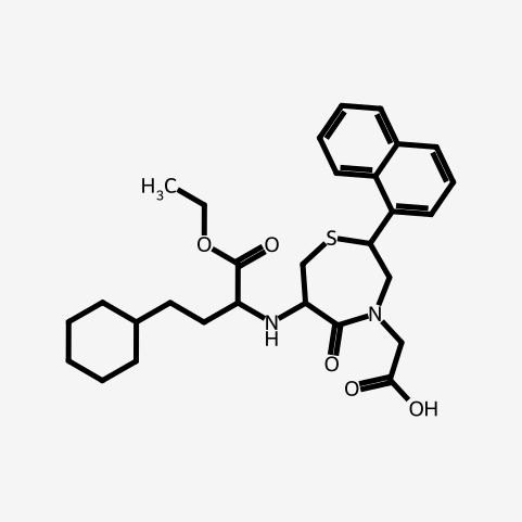 CCOC(=O)C(CCC1CCCCC1)NC1CSC(c2cccc3ccccc23)CN(CC(=O)O)C1=O